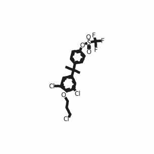 CC(C)(c1ccc(OS(=O)(=O)C(F)(F)F)cc1)c1cc(Cl)c(OCCCCl)c(Cl)c1